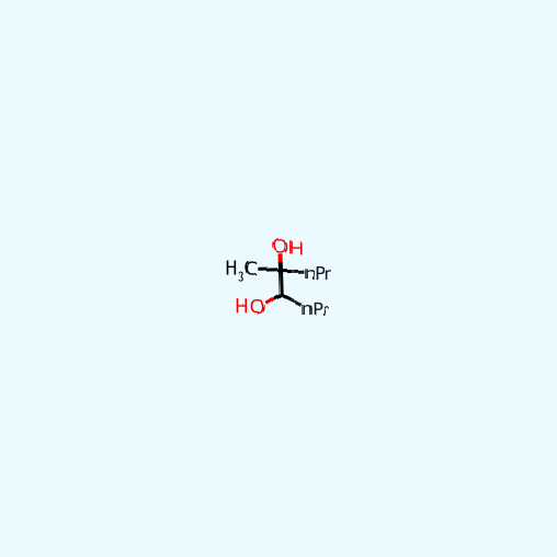 CCCC(O)C(C)(O)CCC